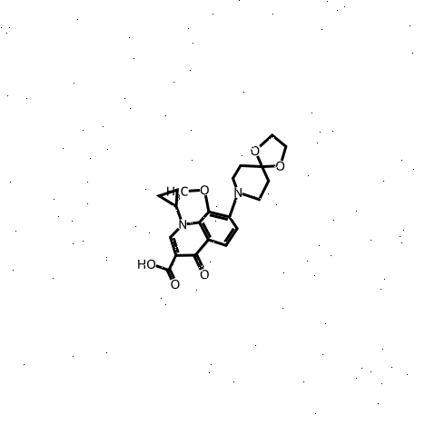 COc1c(N2CCC3(CC2)OCCO3)ccc2c(=O)c(C(=O)O)cn(C3CC3)c12